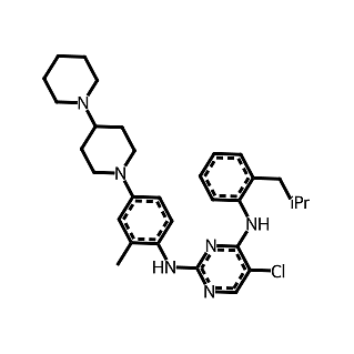 Cc1cc(N2CCC(N3CCCCC3)CC2)ccc1Nc1ncc(Cl)c(Nc2ccccc2CC(C)C)n1